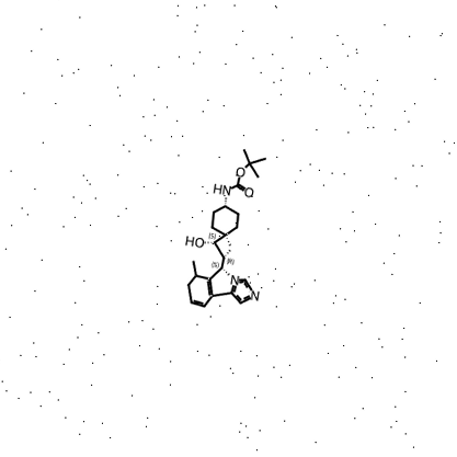 CC1CC=CC2=C1[C@H]([C@H]1C[C@]3(CC[C@@H](NC(=O)OC(C)(C)C)CC3)[C@H]1O)n1cncc12